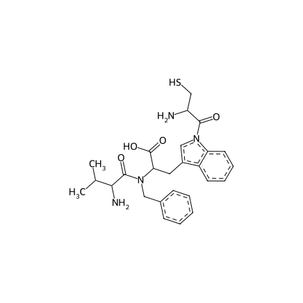 CC(C)C(N)C(=O)N(Cc1ccccc1)C(Cc1cn(C(=O)C(N)CS)c2ccccc12)C(=O)O